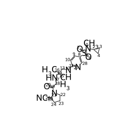 CN(C1CC1)S(=O)(=O)c1ccc(NCC(C)(C)NCC(=O)N2CCC[C@H]2C#N)nc1